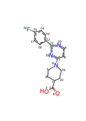 O=C(O)C1CCN(c2ccnc(-c3ccc(F)cc3)n2)CC1